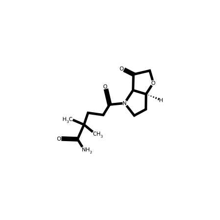 CC(C)(C[CH]C(=O)N1CC[C@@H]2OCC(=O)C21)C(N)=O